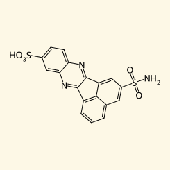 NS(=O)(=O)c1cc2c3c(cccc3c1)-c1nc3cc(S(=O)(=O)O)ccc3nc1-2